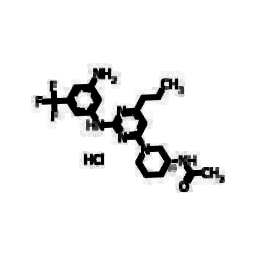 CCCc1cc(N2CCC[C@@H](NC(C)=O)C2)nc(Nc2cc(N)cc(C(F)(F)F)c2)n1.Cl